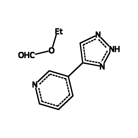 CCOC=O.c1cncc(-c2cn[nH]n2)c1